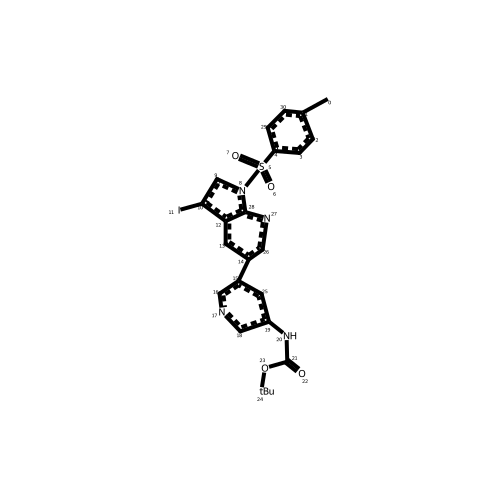 Cc1ccc(S(=O)(=O)n2cc(I)c3cc(-c4cncc(NC(=O)OC(C)(C)C)c4)cnc32)cc1